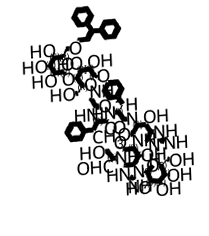 CC(c1ccccc1)[C@H](NC(=O)CN)C(=O)N[C@H](Cc1ccc(O[C@H]2O[C@H](CO)[C@@H](O[C@H]3O[C@H](COCC=C(c4ccccc4)c4ccccc4)[C@@H](O)[C@H](O)[C@@H]3O)[C@H](O)[C@@H]2O)cc1)C(=O)N[C@H](C(=O)N[C@@H](C(=O)N[C@H]([C]=O)CO)[C@H](O)C1CNC(=N)N1[C@H]1O[C@H](CO)[C@@H](O)[C@H](O)[C@@H]1O)C(O)C1CNC(=N)N1